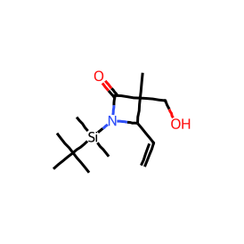 C=CC1N([Si](C)(C)C(C)(C)C)C(=O)C1(C)CO